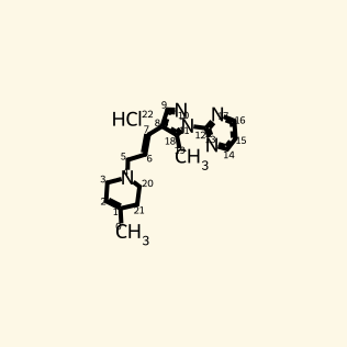 CC1=CCN(CC=Cc2cnn(-c3ncccn3)c2C)CC1.Cl